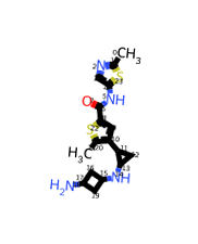 Cc1ncc(NC(=O)c2cc(C3CC3NC3CC(N)C3)c(C)s2)s1